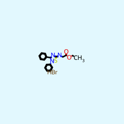 Br.CCOC(=O)CN=c1nc(-c2ccccc2)n(-c2ccccc2)s1